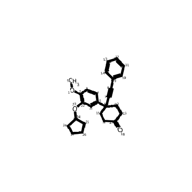 COc1ccc(C2(C#Cc3ccccc3)CCC(=O)CC2)cc1OC1CCCC1